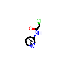 O=C(CCl)NC1CN2CCC1CC2